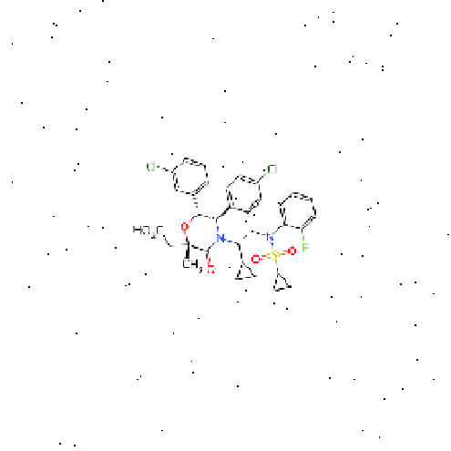 C[C@@]1(CC(=O)O)O[C@H](c2cccc(Cl)c2)[C@@H](c2ccc(Cl)cc2)N([C@H](CN(c2ccccc2F)S(=O)(=O)C2CC2)C2CC2)C1=O